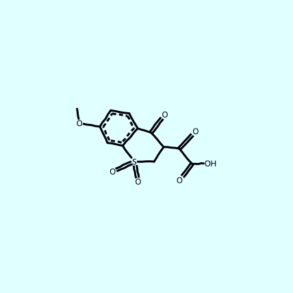 COc1ccc2c(c1)S(=O)(=O)CC(C(=O)C(=O)O)C2=O